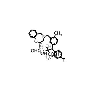 CC[C@@H]1CN(Cc2cc(C(c3ccc(F)cc3C)C(C)(C)C(=O)O)ccc2C)Cc2ccccc2O1.O=CO